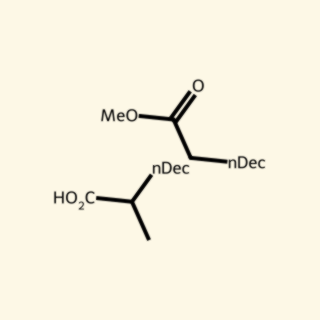 CCCCCCCCCCC(C)C(=O)O.CCCCCCCCCCCC(=O)OC